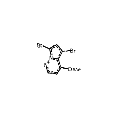 COc1ccnn2c(Br)cc(Br)c12